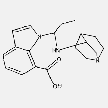 CCC(NC1CN2CCC1CC2)n1ccc2cccc(C(=O)O)c21